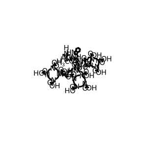 CNC(=O)[C@H](Cc1cnc[nH]1)NC(=O)[C@H](Cc1c[nH]c2ccccc12)NC(=O)[C@H](CCNC(=O)CCC(C(=O)O)N1CCN(CC(=O)O)CCN(CC(=O)O)CCN(CC(=O)O)CC1)NC(=O)[C@H](CCCCNC(C=O)CC(C(=O)O)N1CCCN(CC(=O)O)CCCN(CC(=O)O)CCCN(CC(=O)O)CCC1)NC(=O)CCC(C(=O)O)N1CCCN(CC(=O)O)CCCN(CC(=O)O)CCCN(CC(=O)O)CCC1